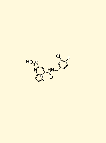 O=C(O)c1cc(C(=O)NCc2ccc(F)c(Cl)c2)n2nccc2n1